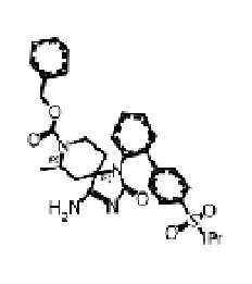 CC(C)S(=O)(=O)c1ccc(-c2ccccc2N2C(=O)N=C(N)[C@@]23CCN(C(=O)OCc2ccccc2)[C@H](C)C3)cc1